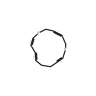 C1=C\CC/C=C\CC/C=C\CC/C=C/1